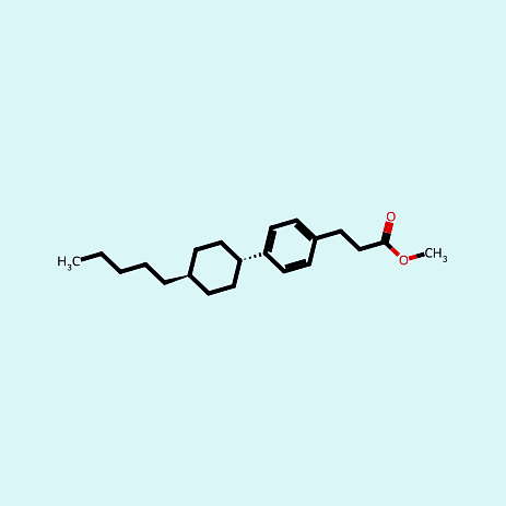 CCCCC[C@H]1CC[C@H](c2ccc(CCC(=O)OC)cc2)CC1